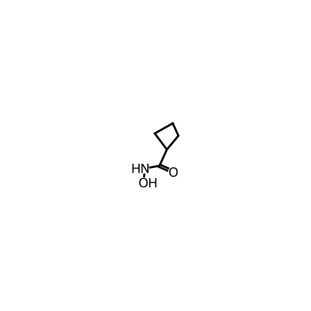 O=C(NO)C1CCC1